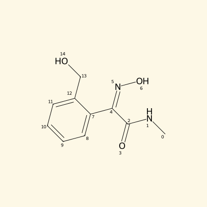 CNC(=O)C(=NO)c1ccccc1CO